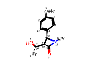 COc1ccc([C@@H]2[C@H]([C@@H](O)C(C)C)C(=O)N2C(C)C)cc1